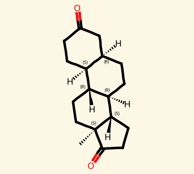 C[C@]12CC[C@H]3[C@@H](CC[C@@H]4CC(=O)CC[C@@H]43)[C@@H]1CCC2=O